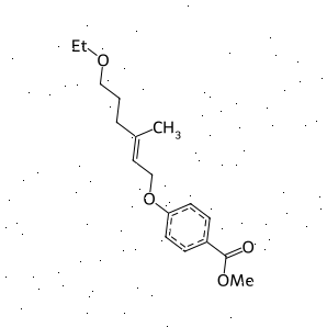 CCOCCC/C(C)=C/COc1ccc(C(=O)OC)cc1